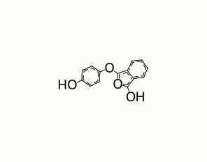 Oc1ccc(Oc2oc(O)c3ccccc23)cc1